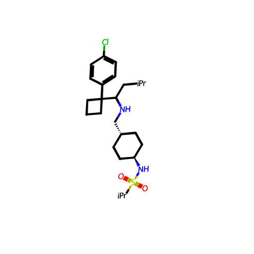 CC(C)CC(NC[C@H]1CC[C@H](NS(=O)(=O)C(C)C)CC1)C1(c2ccc(Cl)cc2)CCC1